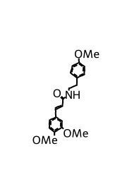 COc1ccc(CCNC(=O)C=Cc2ccc(OC)c(OC)c2)cc1